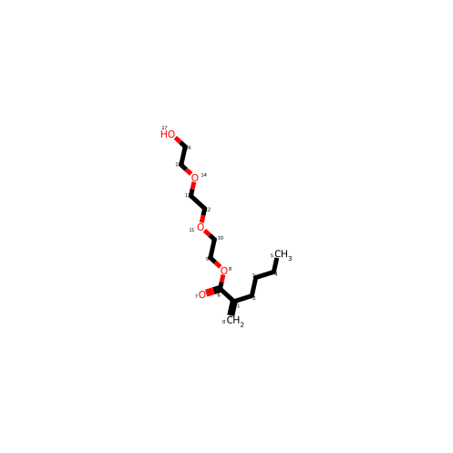 C=C(CCCC)C(=O)OCCOCCOCCO